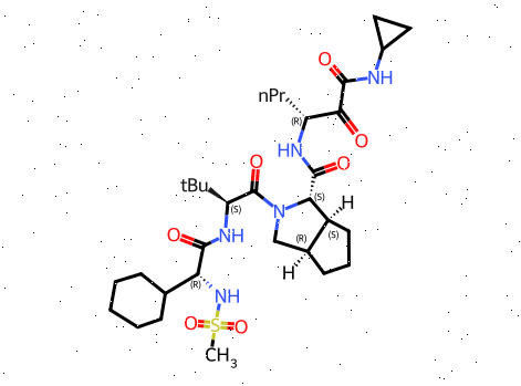 CCC[C@@H](NC(=O)[C@@H]1[C@H]2CCC[C@H]2CN1C(=O)[C@@H](NC(=O)[C@H](NS(C)(=O)=O)C1CCCCC1)C(C)(C)C)C(=O)C(=O)NC1CC1